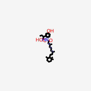 CCC(C(=O)O)c1cc(O)ccc1NC(=O)/C=C(C)/C=C/C=C(\C)C=CC1=C(C)CCCC1(C)C